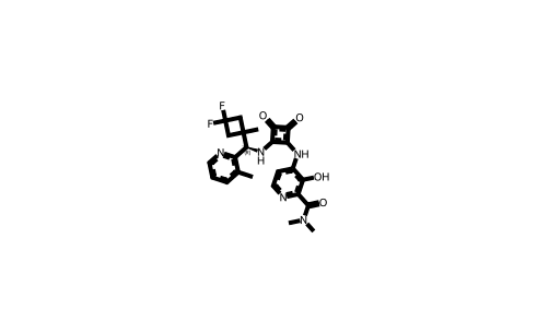 Cc1cccnc1[C@H](Nc1c(Nc2ccnc(C(=O)N(C)C)c2O)c(=O)c1=O)C1(C)CC(F)(F)C1